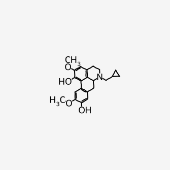 COc1cc2c(cc1O)CC1c3c(cc(OC)c(O)c3-2)CCN1CC1CC1